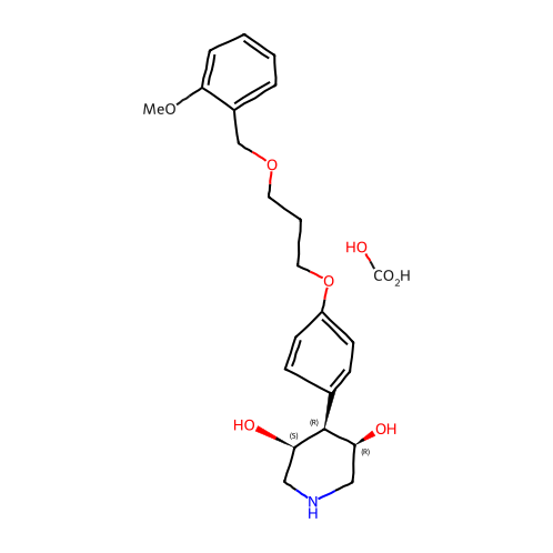 COc1ccccc1COCCCOc1ccc([C@@H]2[C@H](O)CNC[C@@H]2O)cc1.O=C(O)O